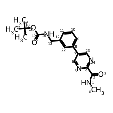 CNC(=O)c1ncc(-c2cccc(CNC(=O)OC(C)(C)C)c2)cn1